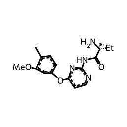 CC[C@@H](N)C(=O)Nc1nccc(Oc2ccc(C)c(OC)c2)n1